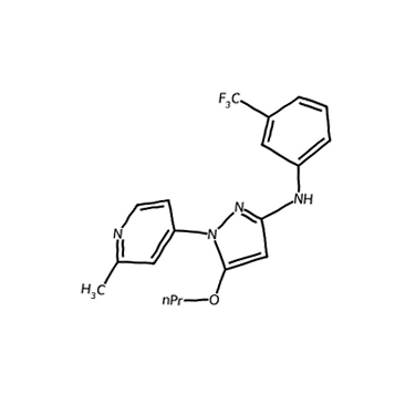 CCCOc1cc(Nc2cccc(C(F)(F)F)c2)nn1-c1ccnc(C)c1